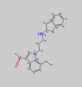 CCc1cccc2c(C(C)=O)cn(CCCNC3Cc4ccccc4C3)c12